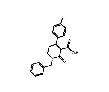 COC(=O)C1C(=O)N(Cc2ccccc2)CCC1c1ccc(F)cc1